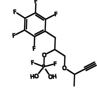 C#CC(C)OCC(Cc1c(F)c(F)c(F)c(F)c1F)OP(O)(O)(F)F